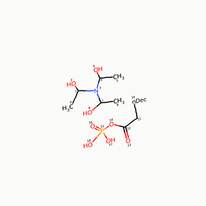 CC(O)N(C(C)O)C(C)O.CCCCCCCCCCCC(=O)OP(=O)(O)O